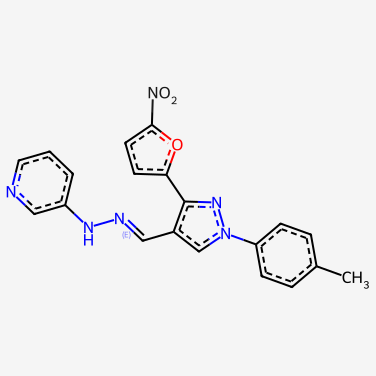 Cc1ccc(-n2cc(/C=N/Nc3cccnc3)c(-c3ccc([N+](=O)[O-])o3)n2)cc1